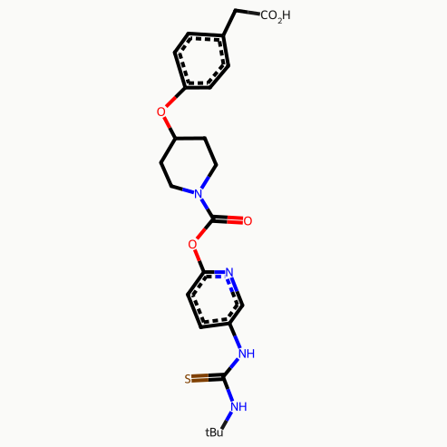 CC(C)(C)NC(=S)Nc1ccc(OC(=O)N2CCC(Oc3ccc(CC(=O)O)cc3)CC2)nc1